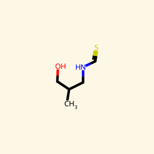 CC(CO)CNC=S